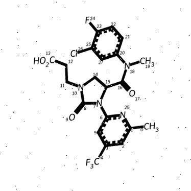 Cc1cc(C(F)(F)F)cc(N2C(=O)N(CCC(=O)O)CC2C(=O)N(C)c2ccc(F)c(Cl)c2)n1